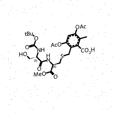 COC(=O)[C@H](CSCc1c(OC(C)=O)cc(OC(C)=O)c(C)c1C(=O)O)NC(=O)[C@H](CO)NC(=O)OC(C)(C)C